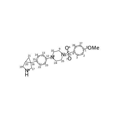 COc1ccc(S(=O)(=O)N2CCN(c3ccc(C45CNCC4C5)cc3)CC2)cc1